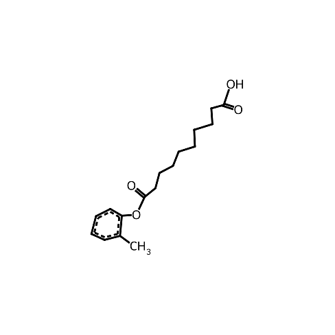 Cc1ccccc1OC(=O)CCCCCCCCC(=O)O